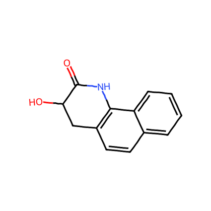 O=C1Nc2c(ccc3ccccc23)CC1O